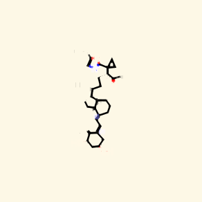 C=C1/C(=C\C=C2/CCC[C@]3(C)[C@@H]([C@H](C)CC[C@H](C(=O)C(C)C)C4(c5ncc(CCCC)o5)CC4)CC[C@@H]23)C[C@@H](O)C[C@@H]1O